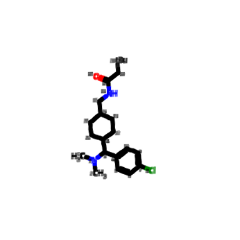 CN(C)C(c1ccc(Cl)cc1)C1CCC(CNC(=O)CC(C)(C)C)CC1